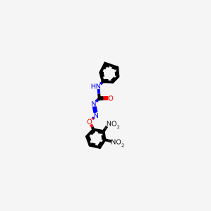 O=C(N=NOc1cccc([N+](=O)[O-])c1[N+](=O)[O-])Nc1ccccc1